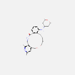 CCN(c1cccc2c1CCCCOCc1cc(C)nc(C)c1CNC2=O)C1CCOCC1